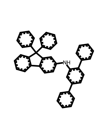 c1ccc(-c2ccc(-c3ccccc3)c(Nc3ccc4c(c3)C(c3ccccc3)(c3ccccc3)c3ccccc3-4)c2)cc1